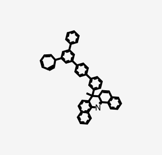 CC1(c2cccc(-c3ccc(-c4cc(-c5ccccc5)cc(C5C#CC=CC=C5)c4)cc3)c2)c2ccc3ccccc3c2N=C2c3ccccc3C=CC21